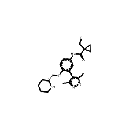 Cc1noc(C)c1-c1cc(NC(=O)C2(CF)CC2)ccc1OC[C@H]1CCCCN1